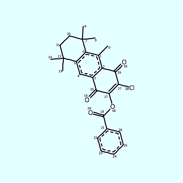 Cc1c2c(cc3c1C(C)(C)CCC3(C)C)C(=O)C(OC(=O)c1ccccc1)=C(Cl)C2=O